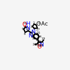 CC(=O)OC1CCC(n2c(C3CCC(=O)N3)nc3cc(-c4c(C)noc4C)ccc32)C1